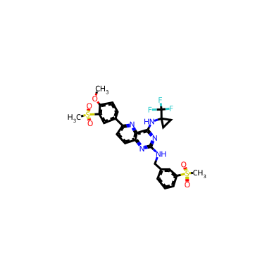 COc1ccc(-c2ccc3nc(NCc4cccc(S(C)(=O)=O)c4)nc(NC4(C(F)(F)F)CC4)c3n2)cc1S(C)(=O)=O